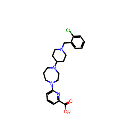 O=C(O)c1cccc(N2CCCN(C3CCN(Cc4ccccc4Cl)CC3)CC2)n1